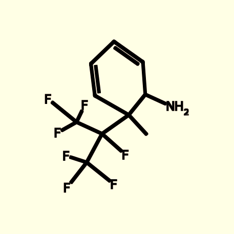 CC1(C(F)(C(F)(F)F)C(F)(F)F)C=CC=CC1N